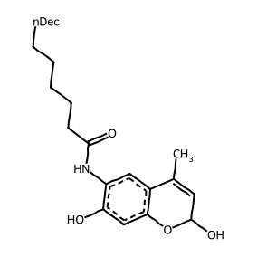 CCCCCCCCCCCCCCCC(=O)Nc1cc2c(cc1O)OC(O)C=C2C